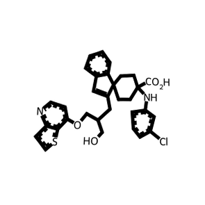 O=C(O)C1(Nc2cccc(Cl)c2)CCC2(CC1)C(CC(CO)COc1ccnc3ccsc13)=Cc1ccccc12